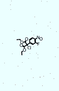 CCOC(=O)C(Cl)(C(=O)OCC)c1ccc(N=O)c(F)c1